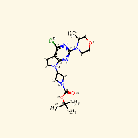 C[C@H]1COCCN1c1nc(Cl)c2c(n1)N(C1CN(C(=O)OC(C)(C)C)C1)CC2